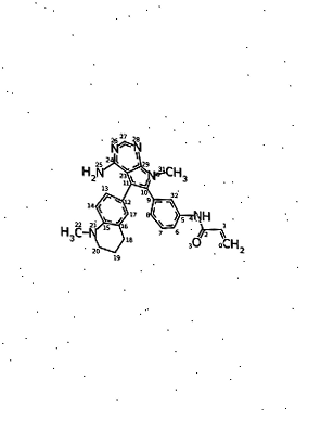 C=CC(=O)Nc1cccc(-c2c(-c3ccc4c(c3)CCCN4C)c3c(N)ncnc3n2C)c1